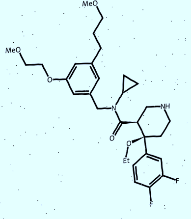 CCO[C@]1(c2ccc(F)c(F)c2)CCNC[C@@H]1C(=O)N(Cc1cc(CCCOC)cc(OCCOC)c1)C1CC1